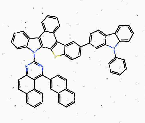 c1ccc(-n2c3ccccc3c3ccc(-c4ccc5sc6c(c5c4)c4ccccc4c4c5ccccc5n(-c5nc(-c7ccc8ccccc8c7)c7c(ccc8ccccc87)n5)c64)cc32)cc1